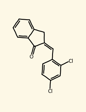 O=C1C(=Cc2ccc(Cl)cc2Cl)Cc2ccccc21